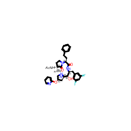 CC[C@@H](C)[C@@]1(NC(C)=O)CCN([C@@H](CCc2ccccc2)C(=O)N[C@@H](Cc2cc(F)cc(F)c2)[C@H](O)[C@H]2C[C@H](Oc3ccccn3)CN2)C1=O